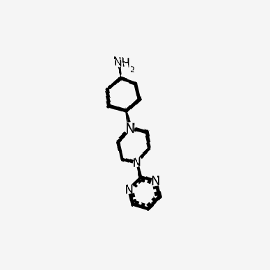 N[C@H]1CC[C@@H](N2CCN(c3ncccn3)CC2)CC1